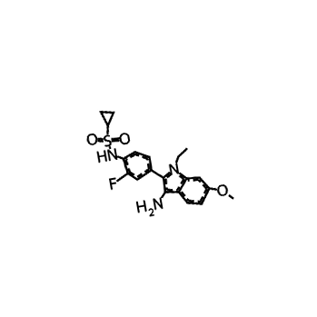 CCn1c(-c2ccc(NS(=O)(=O)C3CC3)c(F)c2)c(N)c2ccc(OC)cc21